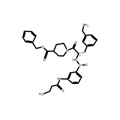 NCCC(=O)Nc1cccc([S+]([O-])N[C@@H](Cc2cccc(CN)c2)C(=O)N2CCC(C(=O)OCc3ccccc3)CC2)c1